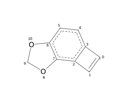 [C]1=Cc2c1ccc1c2OCO1